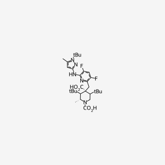 Cc1cc(Nc2nc(C[C@@]3(C(=O)O)C(C(C)(C)C)CN(C(=O)O)[C@H](C)C3C(C)(C)C)c(F)cc2F)nn1C(C)(C)C